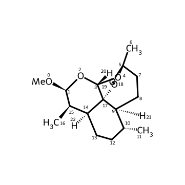 CO[C@H]1O[C@@H]2OC3(C)CC[C@H]4[C@H](C)CC[C@@H]([C@H]1C)[C@@]24OO3